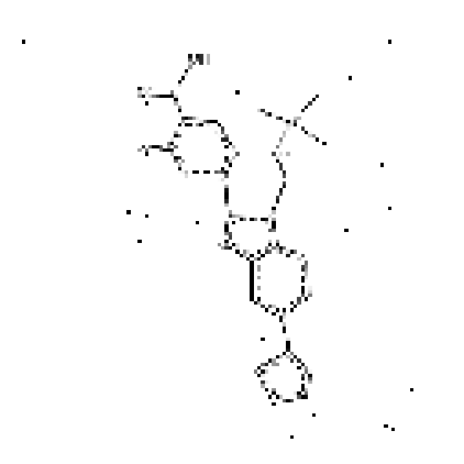 CC(C)(C)[C@@H]1Cc2c(oc3cc(-c4ccsc4)ccc23)-c2cc(=O)c(C(=O)O)cn21